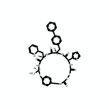 O=C1CCC(=O)NC(c2cccs2)C(=O)N[C@@H](Cc2ccc(-c3ccccc3)cc2)C(=O)N[C@@H](CC2C=CC=CN2)C(=O)N[C@H](C(=O)O)Cc2ccc(cc2)N1